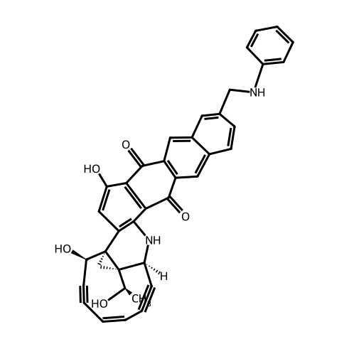 C[C@@H](O)[C@@]12C[C@]13c1cc(O)c4c(c1N[C@H]2C#C/C=C\C#C[C@H]3O)C(=O)c1cc2ccc(CNc3ccccc3)cc2cc1C4=O